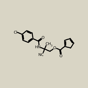 CC(C#N)(COC(=O)C1=CC=CC1)NC(=O)c1ccc(Cl)cc1